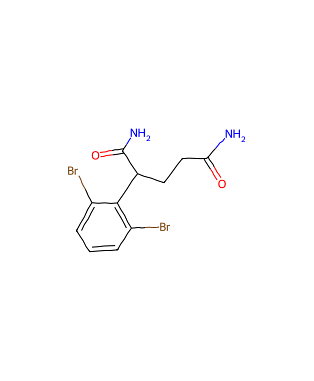 NC(=O)CCC(C(N)=O)c1c(Br)cccc1Br